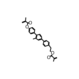 C=C(C)C(=O)OCCc1ccc(-c2ccc(-c3ccc(OC(=O)C(=C)C)cc3)c(C)c2)cc1